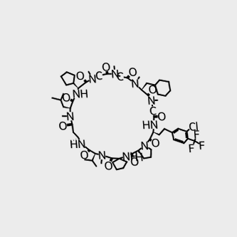 CC(C)C[C@H]1C(=O)N[C@@H](C2CCCC2)C(=O)N(C)CC(=O)N(C)CC(=O)N(C)[C@@H](CC2CCCCC2)C(=O)N(C)CC(=O)N[C@@H](CCc2ccc(C(F)(F)F)c(Cl)c2)C(=O)N2CCC[C@H]2C(=O)NC2(CCCC2)C(=O)N(C)[C@@H](C(C)C)C(=O)N[C@H](C)CC(=O)N1C